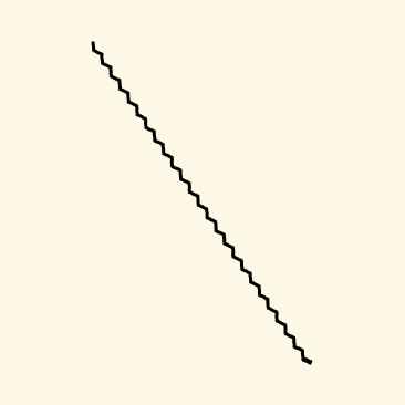 C=CCCCCCCCCCCCCCCCCCCCCCCCCCCCCCCCCCCCCCCCCCCCCCCCCC